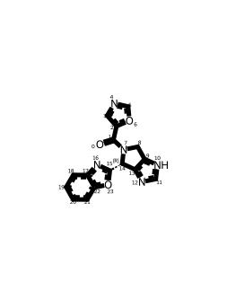 O=C(c1cnco1)N1Cc2[nH]cnc2[C@@H]1c1nc2ccccc2o1